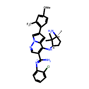 COc1ccc(-c2cc3c(N[C@@H]4CC[C@](C)(N)C4(C)C)c(/C(N)=N/c4ccccc4Cl)cnn3c2)c(C(F)(F)F)c1